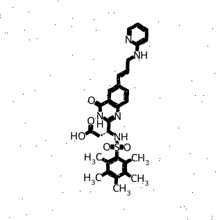 Cc1c(C)c(C)c(S(=O)(=O)N[C@H](CC(=O)O)c2nc3ccc(/C=C/CNc4ccccn4)cc3c(=O)[nH]2)c(C)c1C